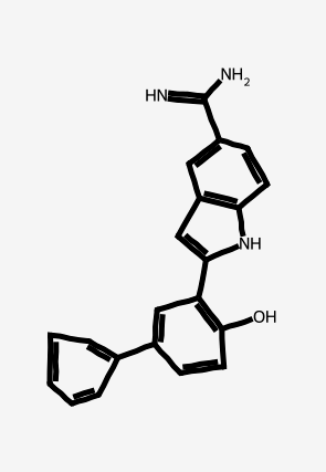 N=C(N)c1ccc2[nH]c(-c3cc(-c4ccccc4)ccc3O)cc2c1